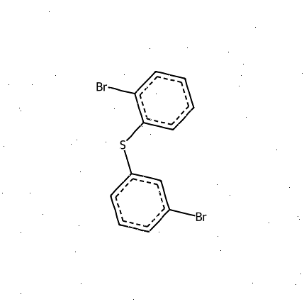 Brc1cccc(Sc2ccccc2Br)c1